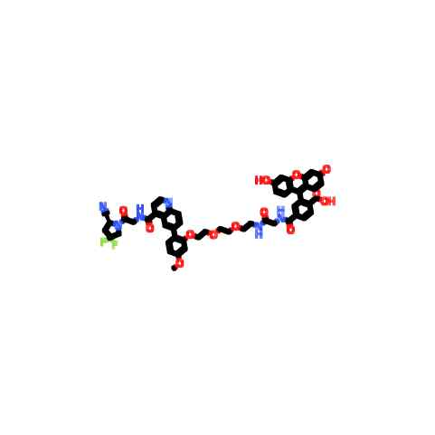 COc1ccc(-c2ccc3nccc(C(=O)NCC(=O)N4CC(F)(F)C[C@H]4C#N)c3c2)c(OCCOCCOCCNC(=O)CNC(=O)c2ccc(C(=O)O)c(-c3c4ccc(=O)cc-4oc4cc(O)ccc34)c2)c1